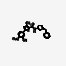 Cc1nc(-c2ccc(OCC(C)C)c(C#N)c2)sc1C(=O)NC1CCN(Cc2ccccc2)C1